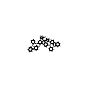 c1ccc(N(c2ccc3c(c2)-c2ccc(N(c4ccccc4)c4cccc5c4oc4ccccc45)cc2C32c3ccccc3Oc3ccccc32)c2cccc3c2oc2ccccc23)cc1